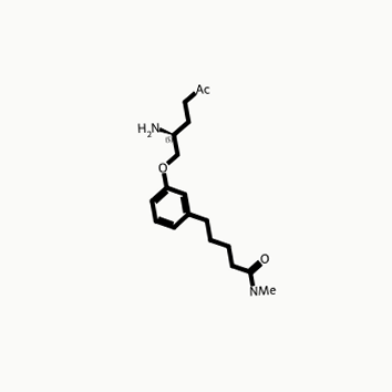 CNC(=O)CCCCc1cccc(OC[C@@H](N)CCC(C)=O)c1